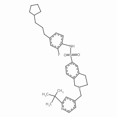 CC(C)(C)c1cc(CN2CCc3cc(S(=O)(=O)Nc4ccc(CCCC5CCCC5)cc4F)ccc3C2)ccn1